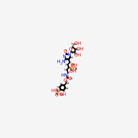 Nc1nc(=O)n([C@@H]2O[C@H](CO)[C@@H](O)[C@H]2O)cc1CCC(CCNC(=O)OCc1ccc(P(=O)(O)O)cc1)P(=O)(O)O